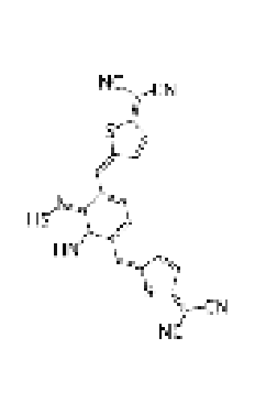 N#CC(C#N)=c1cc/c(=C\C2=CC=C(/C=c3\ccc(=C(C#N)C#N)s3)/C(=N/S)C2=N)s1